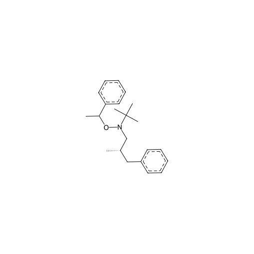 CC(ON(C[C@@H](C)Cc1ccccc1)C(C)(C)C)c1ccccc1